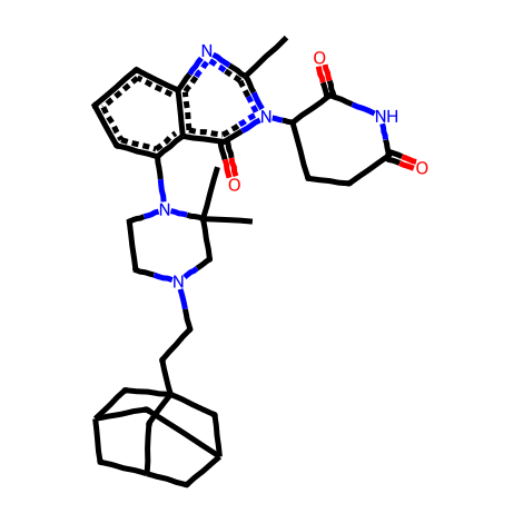 Cc1nc2cccc(N3CCN(CCC45CC6CC(CC(C6)C4)C5)CC3(C)C)c2c(=O)n1C1CCC(=O)NC1=O